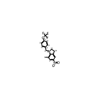 Cc1cc([N+](=O)[O-])cc2c1N(Cc1ccc(OC(F)(F)F)cc1)CC2